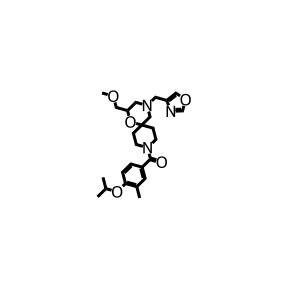 COCC1CN(Cc2cocn2)CC2(CCN(C(=O)c3ccc(OC(C)C)c(C)c3)CC2)O1